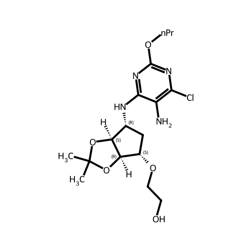 CCCOc1nc(Cl)c(N)c(N[C@@H]2C[C@H](OCCO)[C@H]3OC(C)(C)O[C@H]32)n1